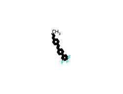 CCCCC1CCC(C=CC2CCC(c3cc(F)c(F)c(F)c3)CC2)CC1